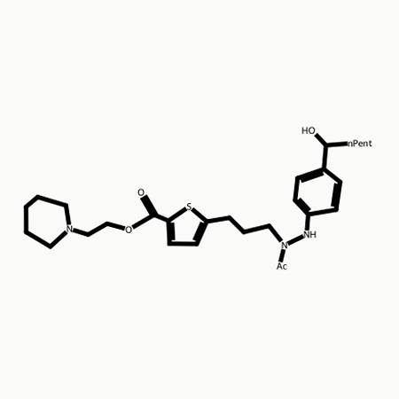 CCCCCC(O)c1ccc(NN(CCCc2ccc(C(=O)OCCN3CCCCC3)s2)C(C)=O)cc1